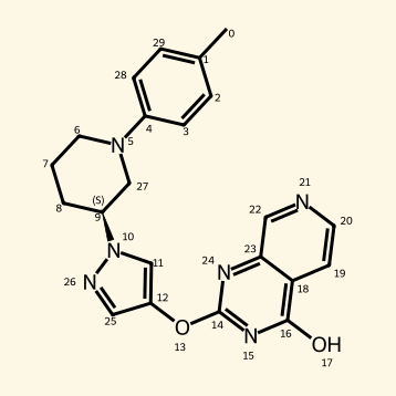 Cc1ccc(N2CCC[C@H](n3cc(Oc4nc(O)c5ccncc5n4)cn3)C2)cc1